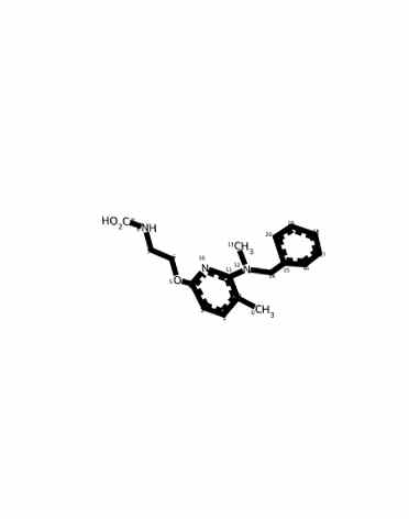 Cc1ccc(OCCNC(=O)O)nc1N(C)Cc1ccccc1